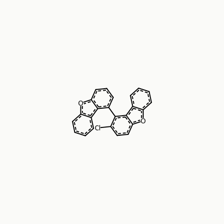 Clc1ccc2oc3ccccc3c2c1-c1cccc2oc3ccccc3c12